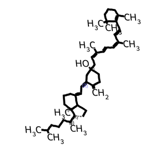 C=C1CC[C@@](O)(CC=C(C)C=CC=C(C)C=CC2=C(C)CCCC2(C)C)C/C1=C/C=C1CCC[C@@]2(C)C1CC[C@@H]2[C@H](C)CCCC(C)C